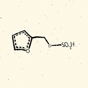 O=S(=O)(O)OCc1ccco1